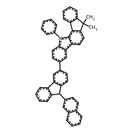 CC1(C)c2ccccc2-c2c1ccc1c3cc(-c4ccc5c(c4)-c4ccccc4C5c4ccc5ccccc5c4)ccc3n(-c3ccccc3)c21